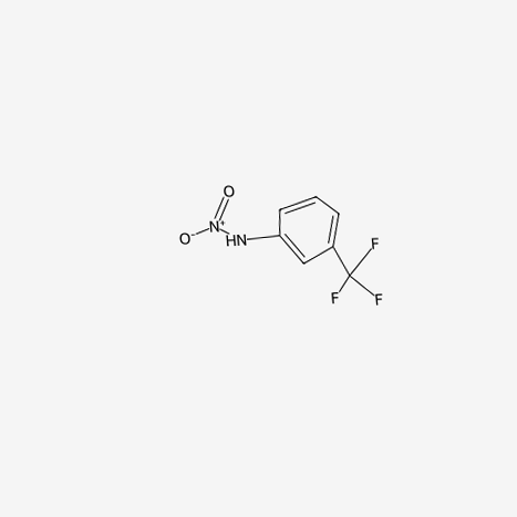 O=[N+]([O-])Nc1cccc(C(F)(F)F)c1